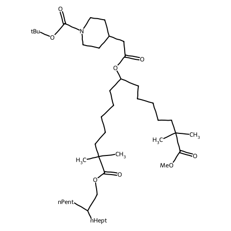 CCCCCCCC(CCCCC)COC(=O)C(C)(C)CCCCCC(CCCCCC(C)(C)C(=O)OC)OC(=O)CC1CCN(C(=O)OC(C)(C)C)CC1